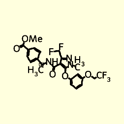 COC(=O)c1ccc([C@H](C)NC(=O)c2c(C(F)F)nn(C)c2Oc2cccc(OCC(F)(F)F)c2)cc1